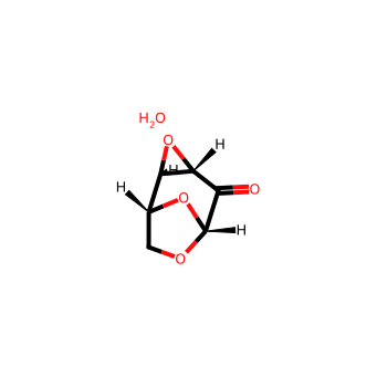 O.O=C1[C@@H]2OC[C@@H](O2)[C@@H]2O[C@H]12